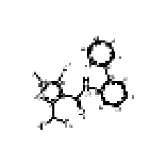 Cn1nc(C(F)F)c(C(=O)Nc2ccccc2-c2ccccc2)c1F